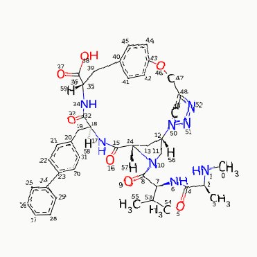 CN[C@@H](C)C(=O)N[C@H](C(=O)N1C[C@@H]2C[C@H]1C(=O)N[C@@H](Cc1ccc(-c3ccccc3)cc1)C(=O)N[C@H](C(=O)O)Cc1ccc(cc1)OCc1cn2nn1)C(C)C